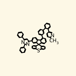 Cc1ccc(-c2ccccc2-c2cccc(-c3cccc4c3-c3ccc(-c5cc(-c6ccccc6)nc(-c6ccccc6)n5)cc3C43c4ccccc4Sc4ccccc43)c2)cn1